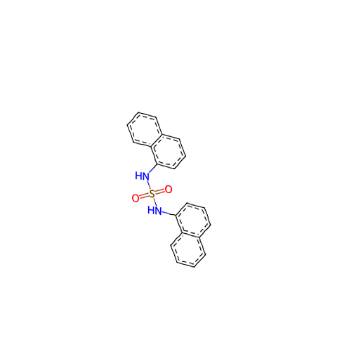 O=S(=O)(Nc1cccc2ccccc12)Nc1cccc2ccccc12